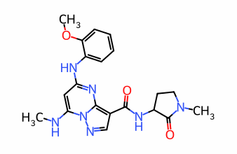 CNc1cc(Nc2ccccc2OC)nc2c(C(=O)NC3CCN(C)C3=O)cnn12